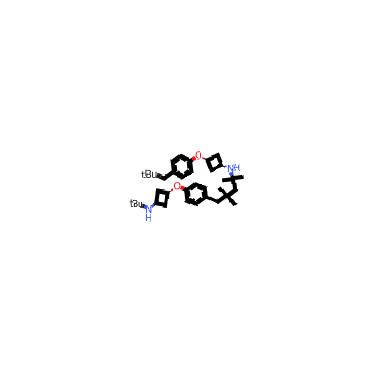 CC(C)(C)Cc1ccc(O[C@H]2C[C@@H](NC(C)(C)CC(C)(C)Cc3ccc(O[C@H]4C[C@H](NC(C)(C)C)C4)cc3)C2)cc1